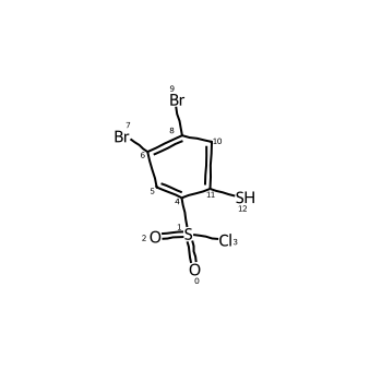 O=S(=O)(Cl)c1cc(Br)c(Br)cc1S